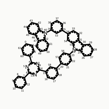 c1ccc(-c2nc(-c3ccccc3)nc(-c3cccc(-c4ccc(-n5c6ccccc6c6ccc(-c7cccc(-n8c9ccccc9c9ccccc98)c7)cc65)cc4)c3)n2)cc1